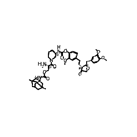 COc1ccc(C[C@H]2OCC(=O)[C@@H]2CCc2ccc(OC(=O)N[C@H]3CCCN(C(=O)[C@@H](N)COC(=O)NC45CC6CC(C)(CC(C)(C6)C4)C5)C3)c(OC)c2)cc1OC